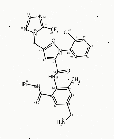 Cc1cc(CN)cc(C(=O)NC(C)C)c1NC(=O)c1cc(Cn2nnnc2C(F)(F)F)nn1-c1ncccc1Cl